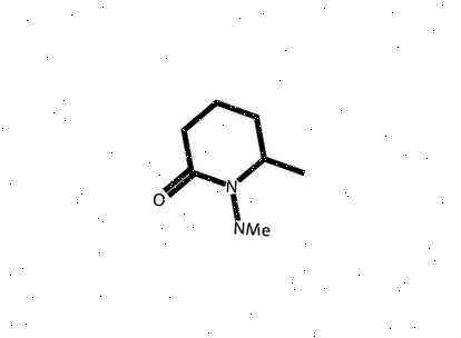 CNN1C(=O)CCCC1C